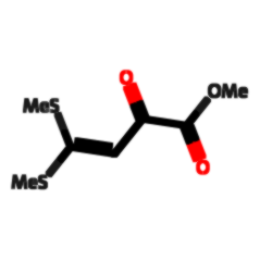 COC(=O)C(=O)C=C(SC)SC